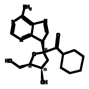 Nc1ncnc2c1ncn2[C@@]1(C(=O)C2CCCCC2)C[C@H](O)[C@@H](CO)O1